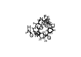 CNC(=O)[C@@H]1CN([C@@H](C)c2cnc(C(F)(F)F)nc2)C(=O)c2c3c(nn21)C[C@@H](C)N(C(=O)c1ccc(Cl)c(OC(F)(F)F)c1)C3